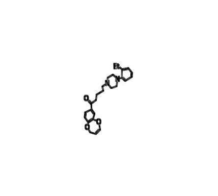 CCc1ccccc1N1CCN(CCCCC(=O)c2ccc3c(c2)OC=CCO3)CC1